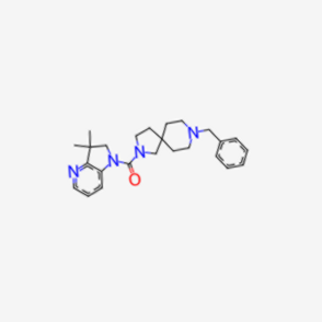 CC1(C)CN(C(=O)N2CCC3(CCN(Cc4ccccc4)CC3)C2)c2cccnc21